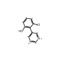 Oc1cccc(Cl)c1-c1cncnc1